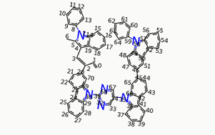 C=C/C(=C\c1c(C)n(-c2ccccc2)c2ccccc12)c1ccc2c3ccccc3n(-c3ncc(-n4c5ccccc5c5ccc(-c6ccc7c(c6)c6ccccc6n7-c6ccccc6)cc54)cn3)c2c1